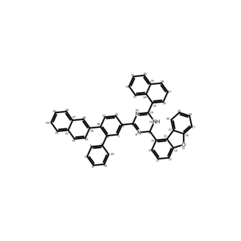 c1ccc(-c2cc(C3=NC(c4cccc5oc6ccccc6c45)NC(c4cccc5ccccc45)=N3)ccc2-c2ccc3ccccc3c2)cc1